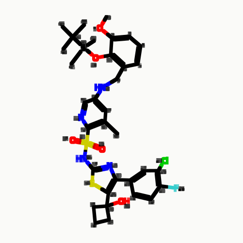 COc1cccc(CNc2cnc(S(=O)(=O)Nc3nc(-c4ccc(F)c(Cl)c4)c(C4(O)CCC4)s3)c(C)c2)c1O[Si](C)(C)C(C)(C)C